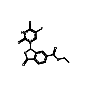 CCOC(=O)c1ccc2c(c1)C(n1cc(F)c(=O)[nH]c1=O)OC2=O